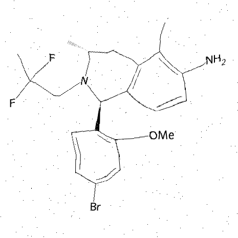 COc1cc(Br)ccc1[C@@H]1c2ccc(N)c(C)c2C[C@@H](C)N1CC(C)(F)F